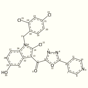 O=C(c1nnc(-c2ccncc2)o1)c1c(Cl)n(Cc2ccc(Cl)cc2Cl)c2ccc(O)cc12